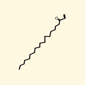 [CH]=CC(=O)CCCCCCCCCCCCCCCCC